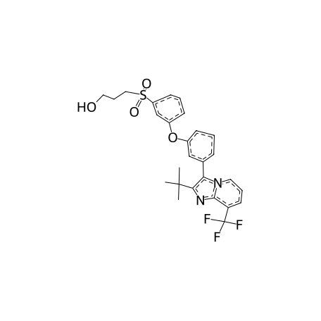 CC(C)(C)c1nc2c(C(F)(F)F)cccn2c1-c1cccc(Oc2cccc(S(=O)(=O)CCCO)c2)c1